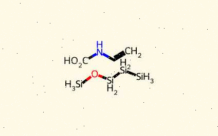 C=CNC(=O)O.[SiH3]O[SiH2][SiH2][SiH3]